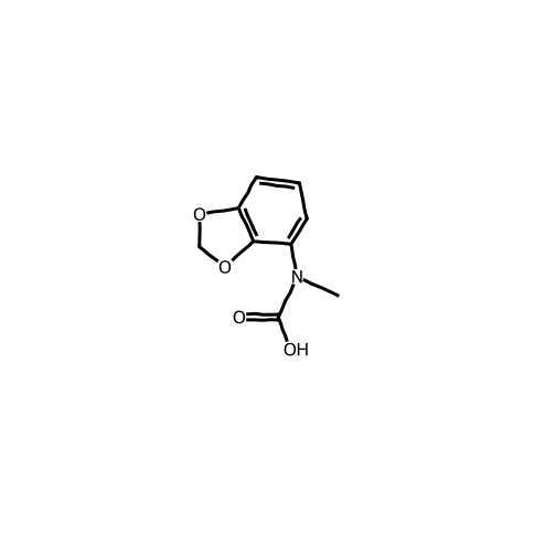 CN(C(=O)O)c1cccc2c1OCO2